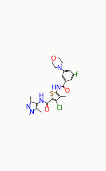 Cc1nn(C)c(C)c1NC(=O)c1sc(NC(=O)c2cc(F)cc(N3CCOCC3)c2)c(C)c1Cl